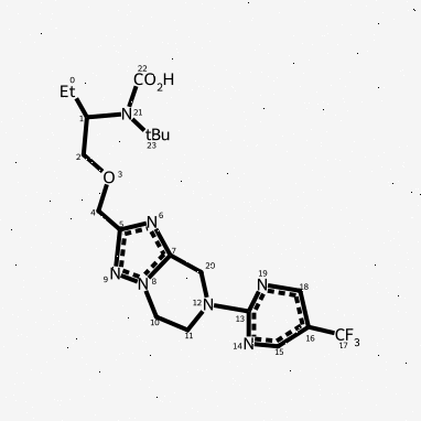 CCC(COCc1nc2n(n1)CCN(c1ncc(C(F)(F)F)cn1)C2)N(C(=O)O)C(C)(C)C